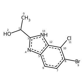 CC(O)c1nc2ccc(Br)c(Cl)c2[nH]1